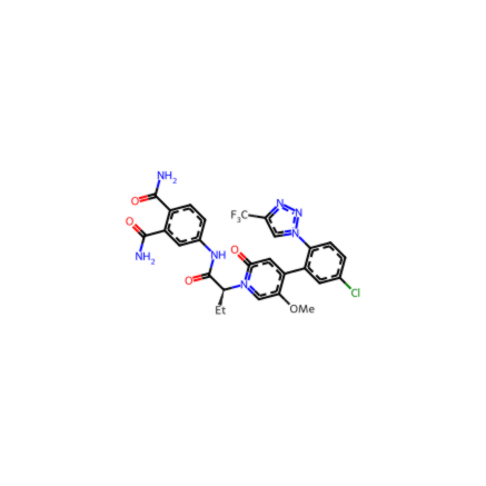 CC[C@@H](C(=O)Nc1ccc(C(N)=O)c(C(N)=O)c1)n1cc(OC)c(-c2cc(Cl)ccc2-n2cc(C(F)(F)F)nn2)cc1=O